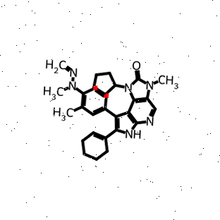 C=NN(C)c1ccc(-c2c(C3=CCCCC3)[nH]c3ncc4c(c23)n(C2CCCC2)c(=O)n4C)cc1C